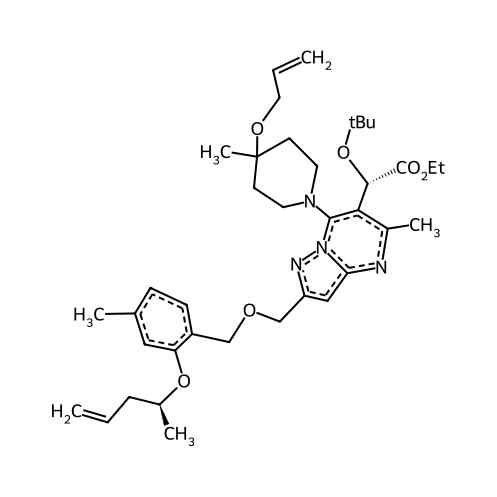 C=CCOC1(C)CCN(c2c([C@H](OC(C)(C)C)C(=O)OCC)c(C)nc3cc(COCc4ccc(C)cc4O[C@@H](C)CC=C)nn23)CC1